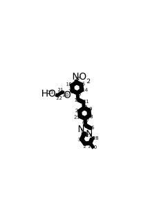 Cc1ccc2nc(-c3ccc(/C=C/c4ccc([N+](=O)[O-])cc4OCCO)cc3)cn2c1